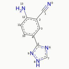 N#Cc1cc(-c2nc[nH]n2)ccc1N